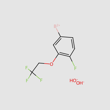 [B+2]c1ccc(F)c(OCC(F)(F)F)c1.[OH-].[OH-]